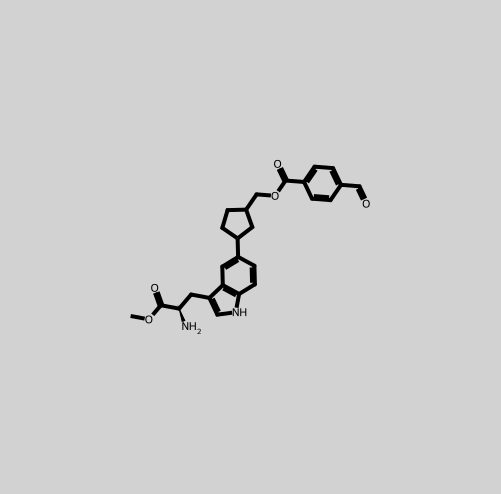 COC(=O)[C@H](N)Cc1c[nH]c2ccc(C3CCC(COC(=O)c4ccc(C=O)cc4)C3)cc12